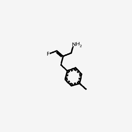 Cc1ccc(C/C(=C\F)CN)cc1